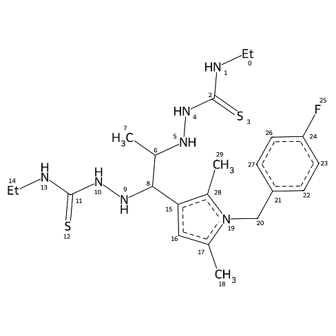 CCNC(=S)NNC(C)C(NNC(=S)NCC)c1cc(C)n(Cc2ccc(F)cc2)c1C